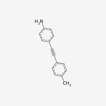 Cc1ccc(C#Cc2ccc(N)cc2)cc1